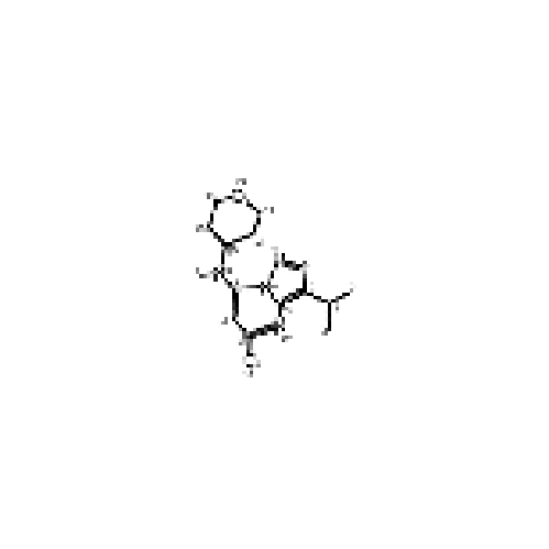 CC(C)c1cnn2c(N(C)C3CCOCC3)cc(Cl)nc12